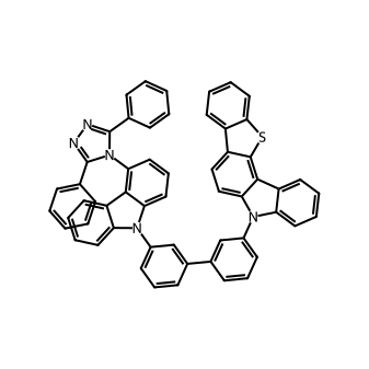 c1ccc(-c2nnc(-c3ccccc3)n2-c2cccc3c2c2ccccc2n3-c2cccc(-c3cccc(-n4c5ccccc5c5c6sc7ccccc7c6ccc54)c3)c2)cc1